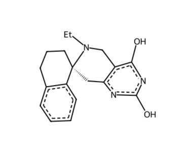 CCN1Cc2c(O)nc(O)nc2C[C@]12CCCc1ccccc12